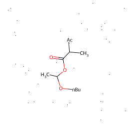 CCCCOC(C)OC(=O)C(C)C(C)=O